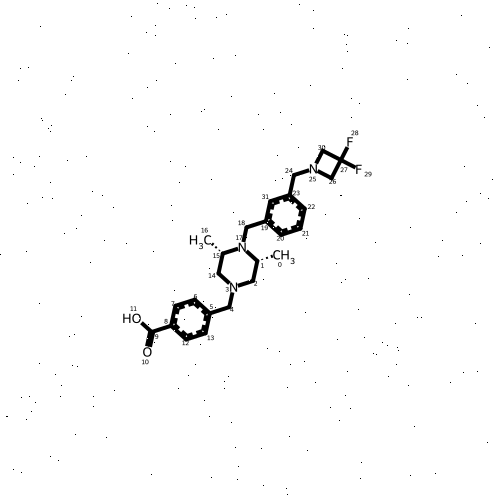 C[C@@H]1CN(Cc2ccc(C(=O)O)cc2)C[C@H](C)N1Cc1cccc(CN2CC(F)(F)C2)c1